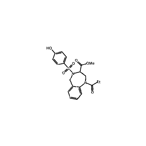 CCC(=O)N1CC(C(=O)OC)N(S(=O)(=O)c2ccc(O)cc2)Cc2ccccc21